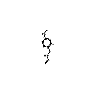 C=CNCc1ccc(NC)cc1